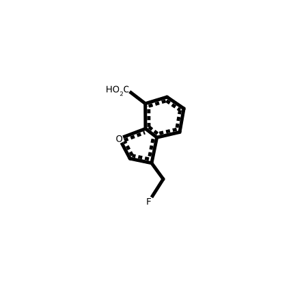 O=C(O)c1cccc2c(CF)coc12